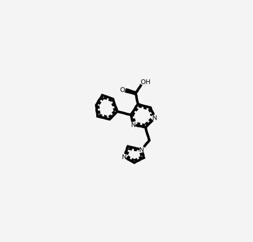 O=C(O)c1cnc(Cn2ccnc2)nc1-c1ccccc1